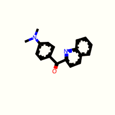 CN(C)c1ccc(C(=O)c2ccc3ccccc3n2)cc1